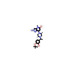 CC(c1ccc2c(c1)OCC(C)(C)O2)N1C[C@H](C)N(c2cc(=O)n(C)c3c[nH]nc23)C[C@H]1C